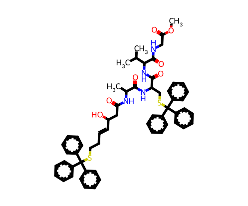 COC(=O)CNC(=O)C(NC(=O)C(CSC(c1ccccc1)(c1ccccc1)c1ccccc1)NC(=O)C(C)NC(=O)CC(O)C=CCCSC(c1ccccc1)(c1ccccc1)c1ccccc1)C(C)C